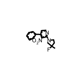 CC1(F)CCN(c2nccc(-c3ccccc3)c2[N+](=O)[O-])C1